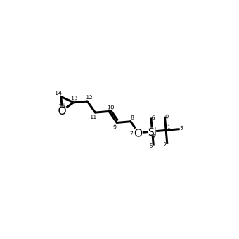 CC(C)(C)[Si](C)(C)OC/C=C/CCC1CO1